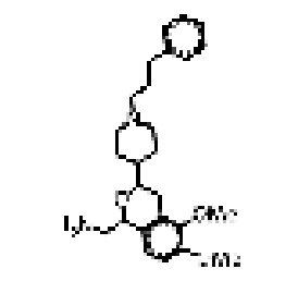 COc1ccc2c(c1OC)C[C@H](C1CCN(CCCc3ccccc3)CC1)O[C@@H]2CN